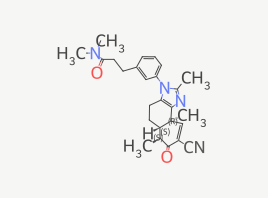 Cc1nc2c(n1-c1cccc(CCC(=O)N(C)C)c1)CC[C@H]1[C@H](C)C(=O)C(C#N)=C[C@]21C